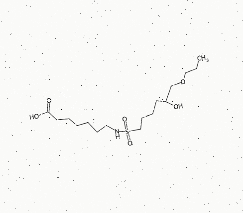 CCCOCC(O)CCCCS(=O)(=O)NCCCCCCC(=O)O